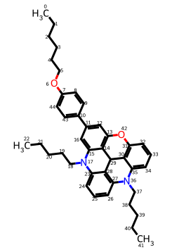 CCCCCCOc1ccc(-c2cc3c4c(c2)N(CCCCC)c2cccc5c2C4c2c(cccc2N5CCCCC)O3)cc1